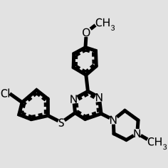 COc1ccc(-c2nc(Sc3ccc(Cl)cc3)cc(N3CCN(C)CC3)n2)cc1